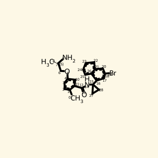 Cc1ccc(OC[C@H](C)N)cc1C(=O)NC1(c2cc(Br)cc3ccccc23)CC1